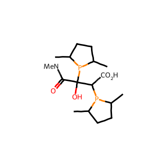 CNC(=O)C(O)(C(C(=O)O)P1C(C)CCC1C)P1C(C)CCC1C